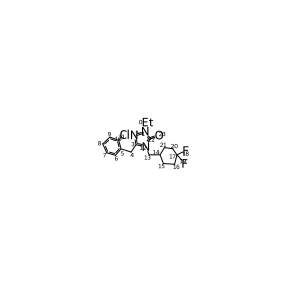 CCn1nc(Cc2ccccc2Cl)n(CC2CCC(F)(F)CC2)c1=O